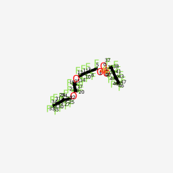 O=S(=O)(OC(F)C(F)(F)C(F)(F)C(F)(F)OC(F)(F)C(F)(F)OC(F)(F)C(F)(F)C(F)(F)C(F)(F)F)C(F)(F)C(F)(F)C(F)(F)C(F)(F)F